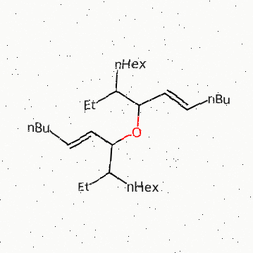 CCCCC=CC(OC(C=CCCCC)C(CC)CCCCCC)C(CC)CCCCCC